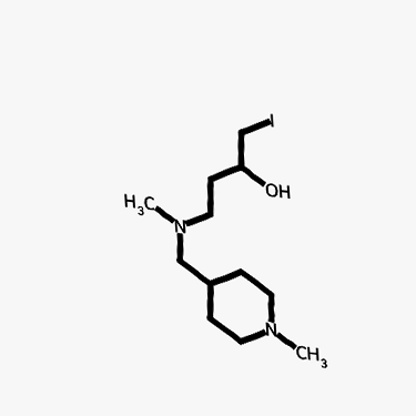 CN1CCC(CN(C)CCC(O)CI)CC1